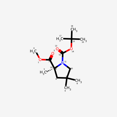 COC(=O)[C@]1(C)CC(C)(C)CN1C(=O)OC(C)(C)C